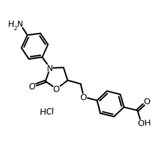 Cl.Nc1ccc(N2CC(COc3ccc(C(=O)O)cc3)OC2=O)cc1